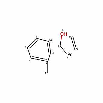 C=C.CC(C)CO.Cc1ccccc1